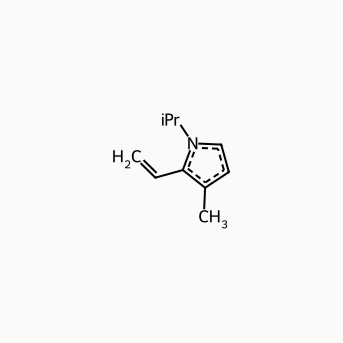 C=Cc1c(C)ccn1C(C)C